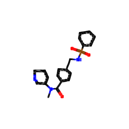 CN(C(=O)c1ccc(CNS(=O)(=O)c2ccccc2)cc1)c1cccnc1